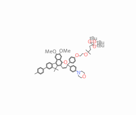 COc1cc2c3c(c4c(c2cc1OC)-c1ccc(-c2ccc(C)cc2)cc1C4(C)C)C=CC(c1ccc(OCCOC(C)(C)CC[Si](OC(C)(C)C)(OC(C)(C)C)OC(C)(C)C)cc1)(c1ccc(N2CCOCC2)cc1)O3